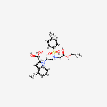 CCOC(=O)CN(CCn1c(C(=O)O)cc2c(C)cccc21)S(=O)(=O)c1ccc(C)cc1